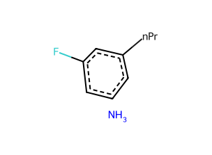 CCCc1cccc(F)c1.N